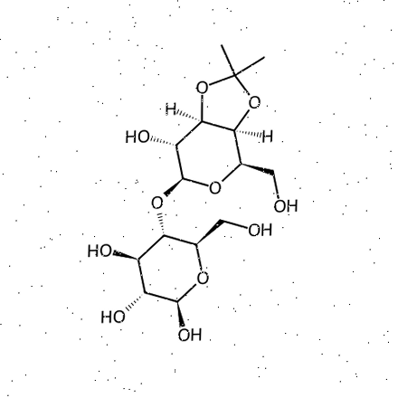 CC1(C)O[C@@H]2[C@@H](O)[C@H](O[C@H]3[C@H](O)[C@@H](O)[C@H](O)O[C@@H]3CO)O[C@H](CO)[C@@H]2O1